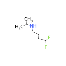 CC(C)NCCCC(F)F